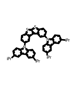 CC(C)c1ccc2c(c1)c1cc(C(C)C)ccc1n2-c1ccc2sc3sc4ccc(-n5c6ccc(C(C)C)cc6c6cc(C(C)C)ccc65)cc4c3c2c1